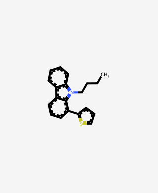 CCCCn1c2ccccc2c2cccc(-c3cccs3)c21